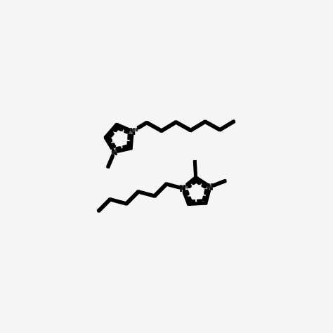 CCCCCCC[n+]1ccn(C)c1.CCCCCC[n+]1ccn(C)c1C